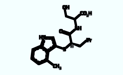 Cc1cccc2[nH]cc(S[C@H](CC(C)C)C(=O)NC(CO)C(=O)O)c12